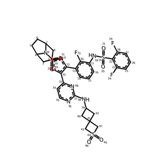 O=S1(=O)CC2CCC(C1)N2c1nc(-c2cccc(NS(=O)(=O)c3c(F)cccc3F)c2F)c(-c2ccnc(NC3CC4(C3)CS(=O)(=O)C4)n2)s1